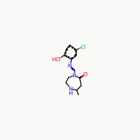 CC1CC(=O)N(/C=N/c2cc(Cl)ccc2O)CCN1